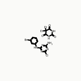 CCC1(CC)C(=O)NC(=O)NC1=O.Nc1nc(Cl)nc(Nc2cccc(Br)c2)n1